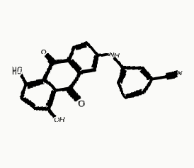 N#Cc1cccc(Nc2ccc3c(c2)C(=O)c2c(O)ccc(O)c2C3=O)c1